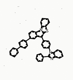 c1ccc(-c2ccc(-c3ccc4c(c3)c(-c3ccc(-n5c(-c6ccccc6)nc6ccccc65)cc3)c3sc5ccccc5n34)cc2)cc1